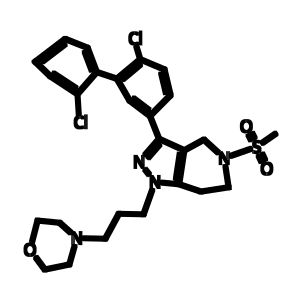 CS(=O)(=O)N1CCc2c(c(-c3ccc(Cl)c(-c4ccccc4Cl)c3)nn2CCCN2CCOCC2)C1